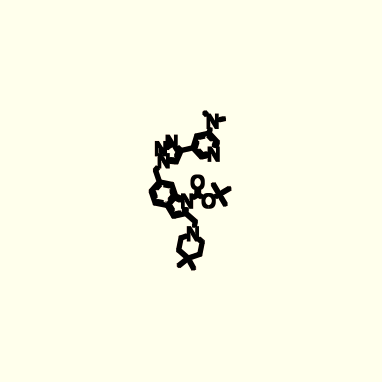 CN(C)c1cncc(-c2cn(Cc3ccc4cc(CN5CCC(C)(C)CC5)n(C(=O)OC(C)(C)C)c4c3)nn2)c1